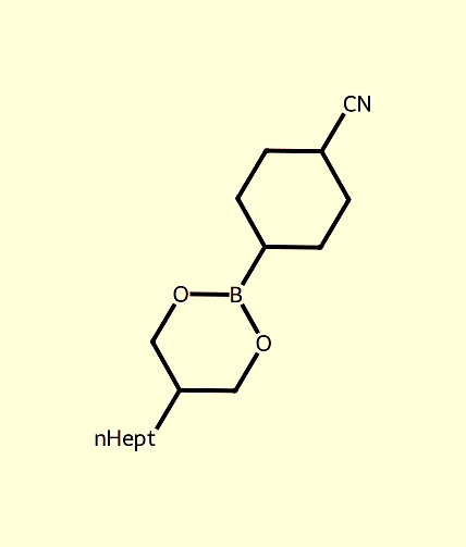 CCCCCCCC1COB(C2CCC(C#N)CC2)OC1